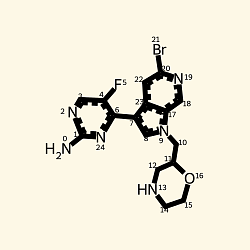 Nc1ncc(F)c(-c2cn(CC3CNCCO3)c3cnc(Br)cc23)n1